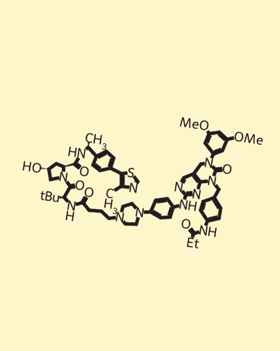 CCC(=O)Nc1ccc(CN2C(=O)N(c3cc(OC)cc(OC)c3)Cc3cnc(Nc4ccc(N5CCN(CCCC(=O)N[C@H](C(=O)N6C[C@H](O)C[C@H]6C(=O)N[C@H](C)c6ccc(-c7scnc7C)cc6)C(C)(C)C)CC5)cc4)nc32)cc1